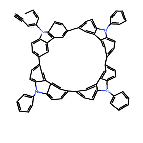 C#C/C=C(\C=C/C)n1c2ccc3cc2c2cc(ccc21)c1ccc2c(c1)c1cc(ccc1n2-c1ccccc1)c1ccc2c(c1)c1cc(ccc1n2-c1ccccc1)c1ccc2c(c1)c1cc3ccc1n2-c1ccccc1